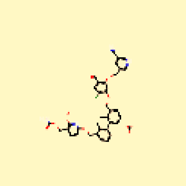 COc1nc(OCc2cccc(-c3cccc(COc4cc(OCc5cncc(C#N)c5)c(C=O)cc4Cl)c3C)c2C)ccc1COC(N)=O.O=C([O-])[O-].[Cs+].[Cs+]